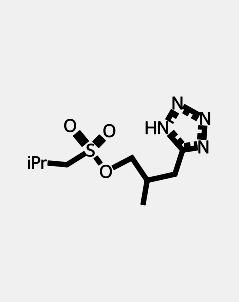 CC(C)CS(=O)(=O)OCC(C)Cc1nnn[nH]1